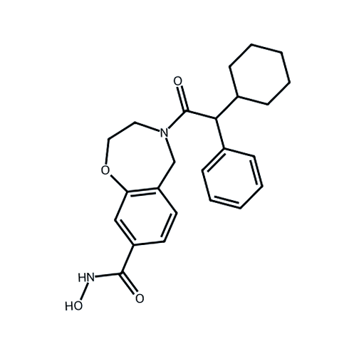 O=C(NO)c1ccc2c(c1)OCCN(C(=O)C(c1ccccc1)C1CCCCC1)C2